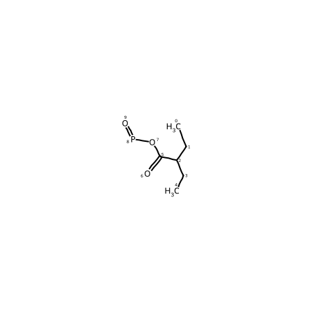 CCC(CC)C(=O)OP=O